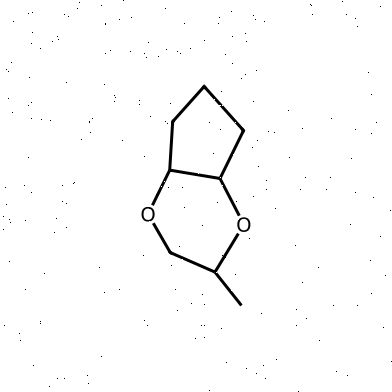 CC1COC2CCCC2O1